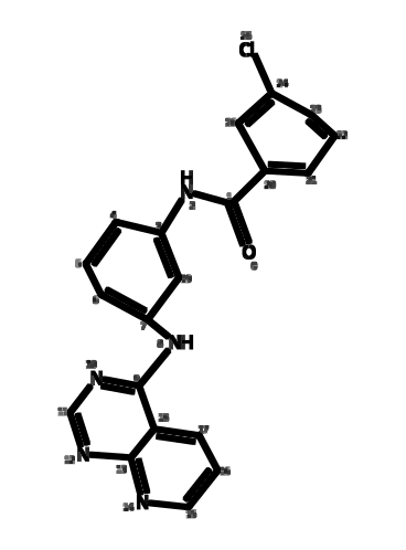 O=C(Nc1cccc(Nc2ncnc3ncccc23)c1)c1cccc(Cl)c1